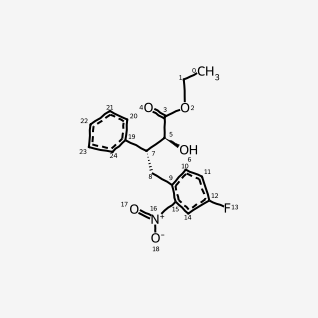 CCOC(=O)[C@@H](O)[C@H](Cc1ccc(F)cc1[N+](=O)[O-])c1ccccc1